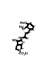 CCOC(=O)N1CCc2c(sc(NC(=O)/C=C/c3cccc(OC)c3OCC)c2C#N)C1